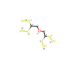 SSC(COCC(SS)SS)SS